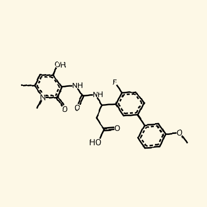 COc1cccc(-c2ccc(F)c(C(CC(=O)O)NC(=O)Nc3c(O)cc(C)n(C)c3=O)c2)c1